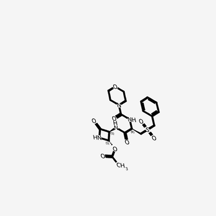 CC(=O)O[C@@H]1NC(=O)[C@H]1NC(=O)[C@H](CS(=O)(=O)Cc1ccccc1)NC(=O)N1CCOCC1